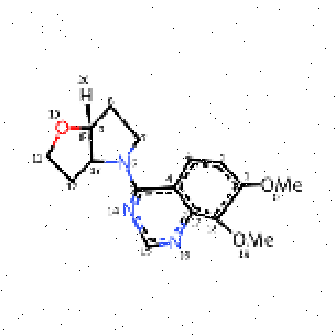 COc1ccc2c(N3CC[C@H]4OCCC43)ncnc2c1OC